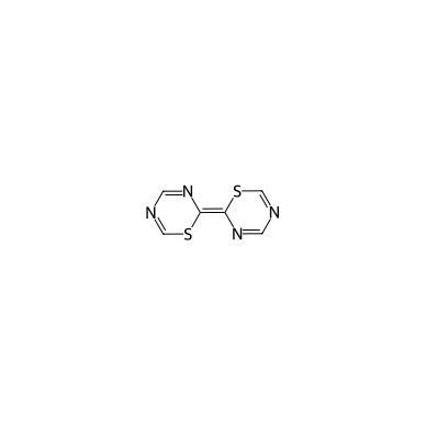 C1=NC=NC(=C2N=CN=CS2)S1